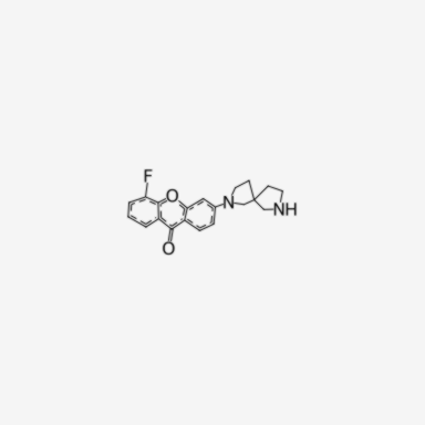 O=c1c2ccc(N3CCC4(CCNC4)C3)cc2oc2c(F)cccc12